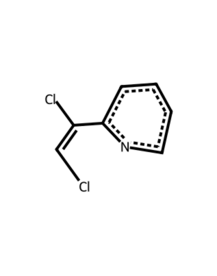 Cl/C=C(/Cl)c1ccccn1